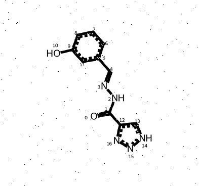 O=C(NN=Cc1cccc(O)c1)c1c[nH]nn1